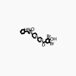 O=C(c1cc(Br)c(O)c(Br)c1)N1CCC(N2CCC(n3cc(-c4ccccc4)[nH]c3=O)CC2)CC1